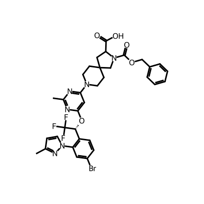 Cc1ccn(-c2cc(Br)ccc2[C@@H](Oc2cc(N3CCC4(CC3)CC(C(=O)O)N(C(=O)OCc3ccccc3)C4)nc(C)n2)C(F)(F)F)n1